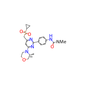 CNC(=O)Nc1ccc(-c2nc(CS(=O)(=O)C3CC3)cc(N3CCOC[C@@H]3C)n2)cc1